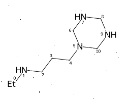 CCNCCCN1CNCNC1